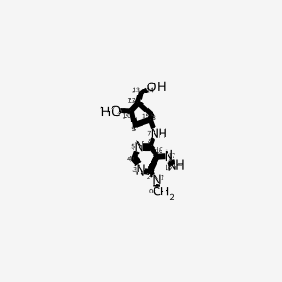 C=Nc1ncnc(NC2CC(O)C(CO)C2)c1N=N